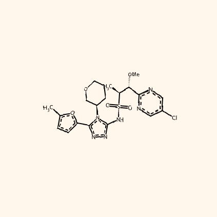 CO[C@H](c1ncc(Cl)cn1)[C@H](C)S(=O)(=O)Nc1nnc(-c2ccc(C)o2)n1[C@@H]1CCCOC1